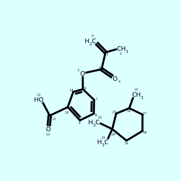 C=C(C)C(=O)Oc1cccc(C(=O)O)c1.CC1CCCC(C)(C)C1